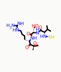 CC(C)[C@H](NS)C(=O)N[C@@H](CO)C(=O)N[C@@H](CCCCNC(=N)N)C(=O)[C@@]1(C)CO1